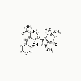 Cc1cn(-c2cnc(C(N)=O)c(NC3CCCCC3O)c2)c2c1C(=O)CC(C)(C)C2